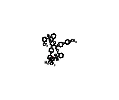 CN1CCC(N2CCN(C(COCC3CCCCN3S(=O)(=O)c3cccc(C(F)(F)F)c3)C(=O)C(COCC3CCCCN3S(=O)(=O)c3cccc(C(F)(F)F)c3)N3CCN(C4CCN(C)CC4)CC3)CC2)CC1